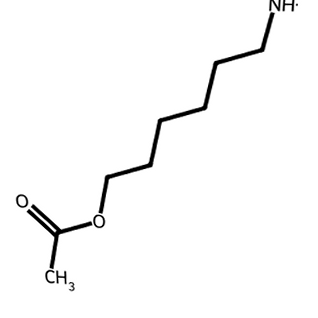 CC(=O)OCCCCCC[NH]